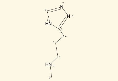 CNCCCc1nnc[nH]1